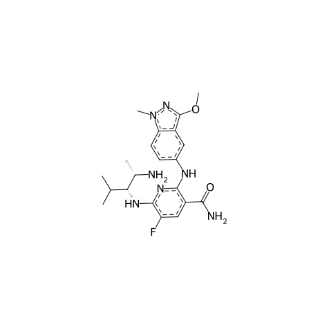 COc1nn(C)c2ccc(Nc3nc(N[C@H](C(C)C)[C@H](C)N)c(F)cc3C(N)=O)cc12